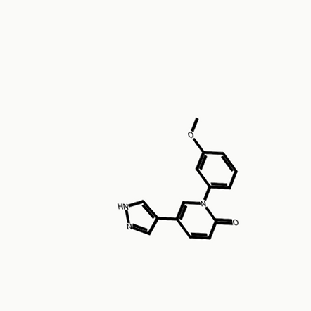 COc1cccc(-n2cc(-c3cn[nH]c3)ccc2=O)c1